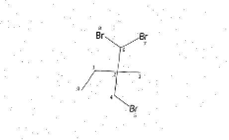 CCC(C)(CBr)C(Br)Br